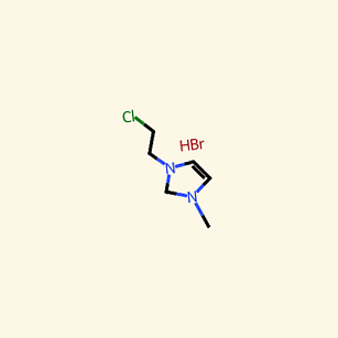 Br.CN1C=CN(CCCl)C1